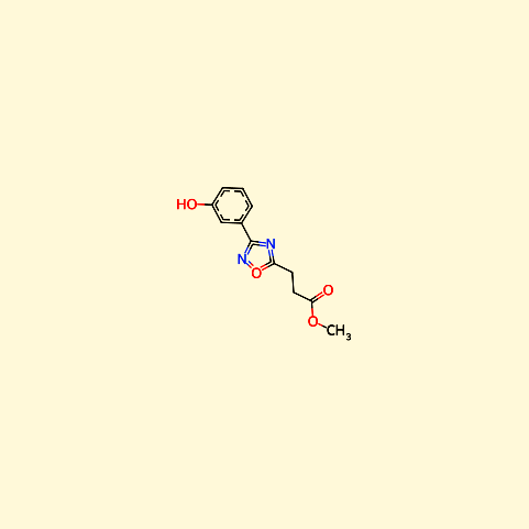 COC(=O)CCc1nc(-c2cccc(O)c2)no1